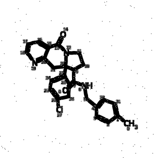 Cc1ccc(CNC(=O)C2CCN3C(=O)c4cccnc4CC23C2=CC=C(Cl)CC2)cc1